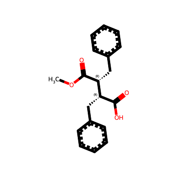 COC(=O)[C@H](Cc1ccccc1)[C@@H](Cc1ccccc1)C(=O)O